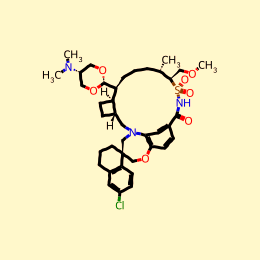 COC[C@@H]1[C@@H](C)CCC[C@H]([C@H]2OC[C@@H](N(C)C)CO2)[C@@H]2CC[C@H]2CN2C[C@@]3(CCCc4cc(Cl)ccc43)COc3ccc(cc32)C(=O)NS1(=O)=O